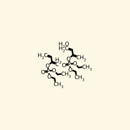 C=CC(=C)OP(=O)(OCC)OCC.C=CC(=C)OP(=O)(OCC)OCC.O